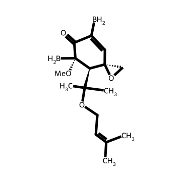 BC1=C[C@]2(CO2)[C@@H](C(C)(C)OCC=C(C)C)[C@](B)(OC)C1=O